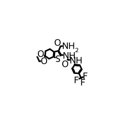 NC(=O)c1c(NC(=O)Nc2ccc(C(F)(F)F)cc2)sc2c1CCC1(C2)OCCO1